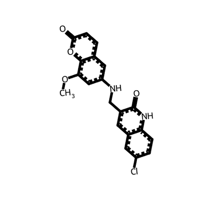 COc1cc(NCc2cc3cc(Cl)ccc3[nH]c2=O)cc2ccc(=O)oc12